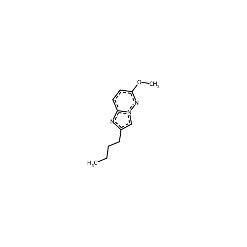 CCCCc1cn2nc(OC)ccc2n1